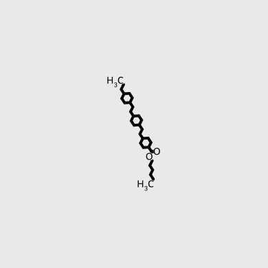 CCCCCCOC(=O)C1CCC(CCC2CCC(CCC3CCC(CCC)CC3)CC2)CC1